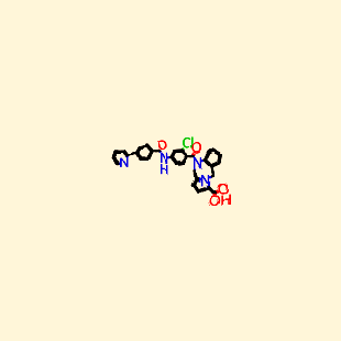 O=C(Nc1ccc(C(=O)N2Cc3ccc(C(=O)O)n3Cc3ccccc32)c(Cl)c1)c1ccc(-c2ccccn2)cc1